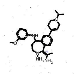 COc1cccc(NC2CCN(N)/C(=C(/C)N)c3ccc(C4=CCN(C(C)C)CC4)cc32)c1